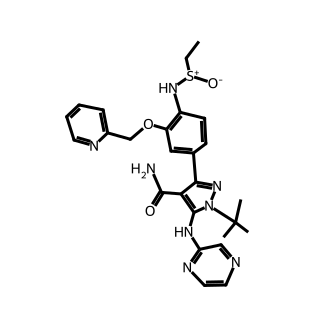 CC[S+]([O-])Nc1ccc(-c2nn(C(C)(C)C)c(Nc3cnccn3)c2C(N)=O)cc1OCc1ccccn1